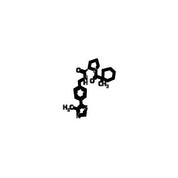 Cc1ncsc1-c1ccc(CNC(=O)[C@@H]2CCCN2C(=O)C2(C)CCCCC2)cc1